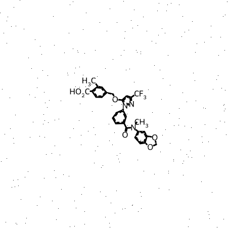 Cc1cc(COc2cc(C(F)(F)F)nn2-c2cccc(C(=O)N(C)c3ccc4c(c3)OCO4)c2)ccc1C(=O)O